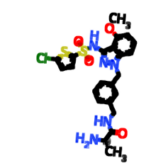 COc1cccc2c1c(NS(=O)(=O)c1ccc(Cl)s1)nn2Cc1cccc(CNC(=O)[C@H](C)N)c1